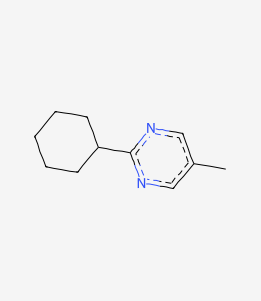 Cc1cnc(C2CCCCC2)nc1